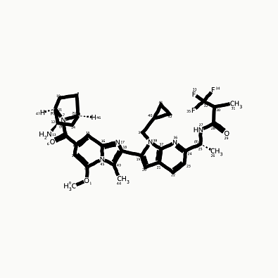 COc1cc(C(=O)N2[C@H]3CC[C@@H]2[C@H](N)C3)cc2nc(-c3cc4ccc([C@@H](C)NC(=O)C(C)C(F)(F)F)nc4n3CC3CC3)c(C)n12